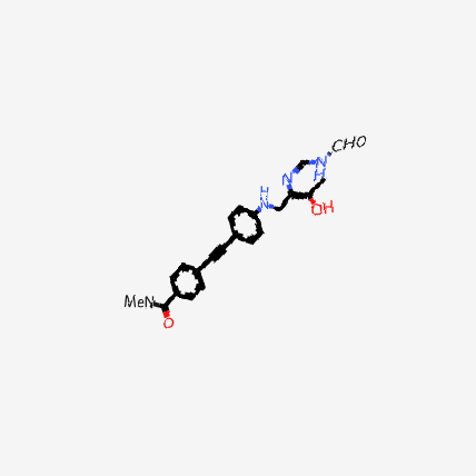 CNC(=O)c1ccc(C#Cc2ccc(NCC(/N=C\NC=O)=C(/C)O)cc2)cc1